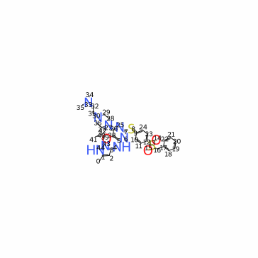 Cc1cc(Nc2nc(Sc3ccc(S(=O)(=O)Cc4ccccc4)cc3)nc(N3CCN(CCN(C)C)CC3)c2OC(C)C)n[nH]1